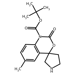 Cc1ccc2c(c1)C1(CCNC1)OC(=O)N2C(=O)OC(C)(C)C